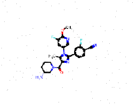 COc1ncc(-n2c(-c3ccc(C#N)c(F)c3)nc(C(=O)N3CCC[C@@H](N)C3)c2C)cc1F